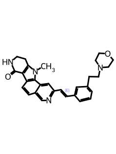 Cn1c2c(c3ccc4cnc(/C=C/c5cccc(CCN6CCOCC6)c5)cc4c31)C(=O)NCC2